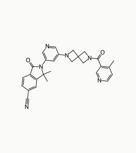 Cc1ccncc1C(=O)N1CC2(C1)CN(c1cncc(N3C(=O)c4ccc(C#N)cc4C3(C)C)c1)C2